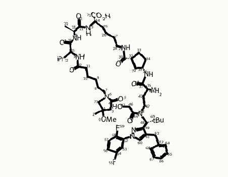 COC1(C)CC(=O)N(CCCCCC(=O)NC(C(=O)N[C@@H](C)C(=O)N[C@@H](CCCCNC(=O)[C@@H]2CC[C@H](NC(=O)[C@@H](N)CCN(C(=O)CO)[C@@H](c3nn(-c4cc(F)ccc4F)cc3Cc3ccccc3)C(C)(C)C)C2)C(=O)O)C(C)C)C1